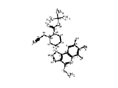 CSc1nc2c(F)c(Br)c(I)cc2c2c1nnn2[C@H]1CCN(C(=O)OC(C)(C)C)[C@H](CC#N)C1